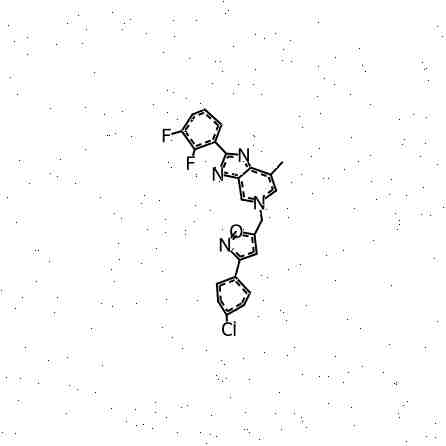 Cc1cn(Cc2cc(-c3ccc(Cl)cc3)no2)cc2nc(-c3cccc(F)c3F)nc1-2